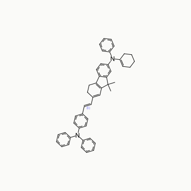 CC1(C)C2=C(CCC(/C=C/c3ccc(N(c4ccccc4)c4ccccc4)cc3)=C2)c2ccc(N(C3=CCCCC3)c3ccccc3)cc21